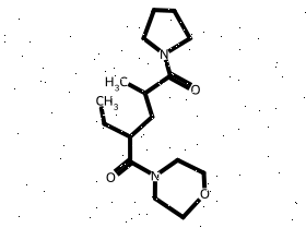 CCC(CC(C)C(=O)N1CCCC1)C(=O)N1CCOCC1